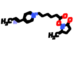 C=C1CCC(=O)N1OC(=O)CCCCC[n+]1ccc(/C=C/C)cc1